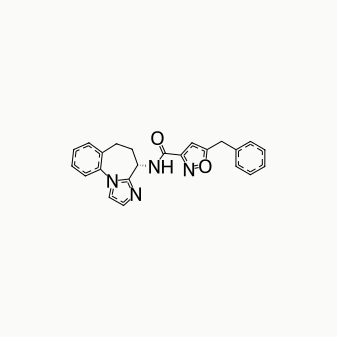 O=C(N[C@H]1CCc2ccccc2-n2ccnc21)c1cc(Cc2ccccc2)on1